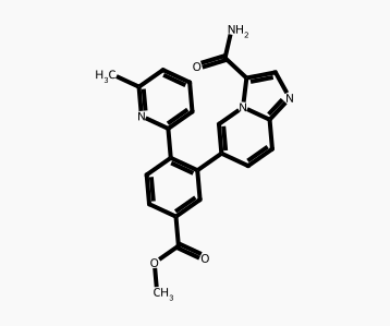 COC(=O)c1ccc(-c2cccc(C)n2)c(-c2ccc3ncc(C(N)=O)n3c2)c1